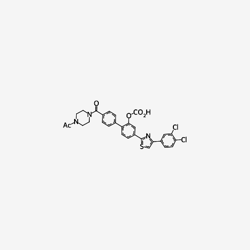 CC(=O)N1CCN(C(=O)c2ccc(-c3ccc(-c4nc(-c5ccc(Cl)c(Cl)c5)cs4)cc3OC(=O)O)cc2)CC1